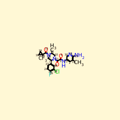 Cc1cc(NC(=O)C(=O)N2C[C@@H](C)N(C(=O)C3(C(F)(F)F)CC3)C[C@@H]2c2ccc(F)c(Cl)c2)cnc1N